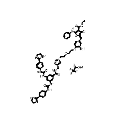 CCOC(=O)C1=C(Nc2ccccc2)S/C(=C\c2ccc(OCCOCCn3cc(CNC(=O)c4cc(NC(=O)Nc5ccc(C6=NCCN6)cc5)cc(NC(=O)Nc5ccc(C6=NCCN6)cc5)c4)nn3)c(O)c2)C1=O.O=C(O)C(F)(F)F